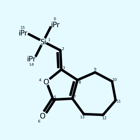 CC(C)[Si](/C=C1\OC(=O)C2=C1CCCCC2)(C(C)C)C(C)C